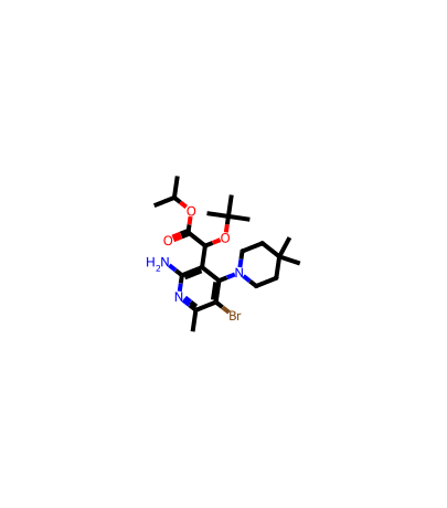 Cc1nc(N)c(C(OC(C)(C)C)C(=O)OC(C)C)c(N2CCC(C)(C)CC2)c1Br